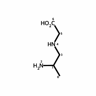 CC(N)CNCC(=O)O